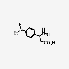 CCN(CC)c1ccc(C(CC(=O)O)NCl)cc1